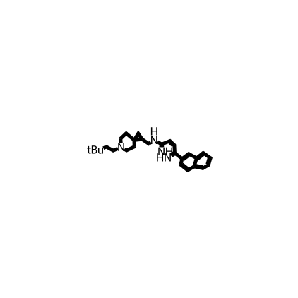 CC(C)(C)CCN1CCC2(CC1)CC2CNC(=N)/C=C\C(=N)c1ccc2ccccc2c1